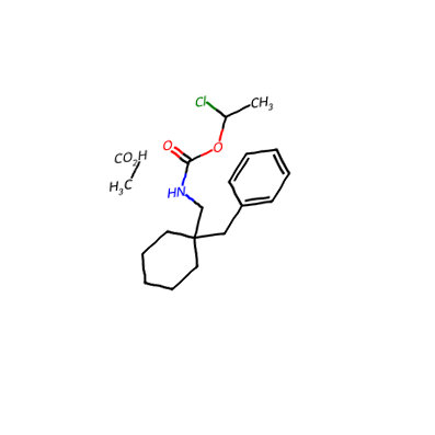 CC(=O)O.CC(Cl)OC(=O)NCC1(Cc2ccccc2)CCCCC1